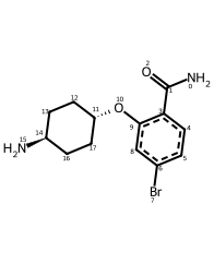 NC(=O)c1ccc(Br)cc1O[C@H]1CC[C@H](N)CC1